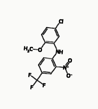 COc1ccc(Cl)cc1Nc1ccc(C(F)(F)F)cc1[N+](=O)[O-]